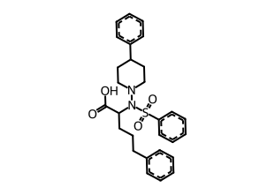 O=C(O)C(CCCc1ccccc1)N(N1CCC(c2ccccc2)CC1)S(=O)(=O)c1ccccc1